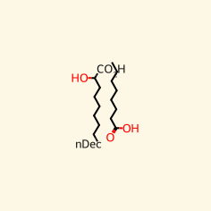 CCCCCCCC(=O)O.CCCCCCCCCCCCCCCCC(O)C(=O)O